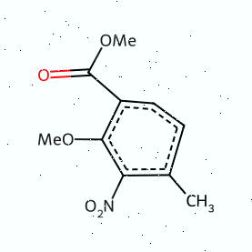 COC(=O)c1ccc(C)c([N+](=O)[O-])c1OC